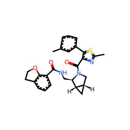 Cc1cccc(-c2sc(C)nc2C(=O)N2C[C@@H]3C[C@@H]3[C@H]2CNC(=O)c2cccc3c2OCC3)c1